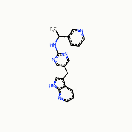 FC(F)(F)C(Nc1ncc(Cc2c[nH]c3ncccc23)cn1)c1cccnc1